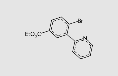 CCOC(=O)c1ccc(Br)c(-c2ccccn2)c1